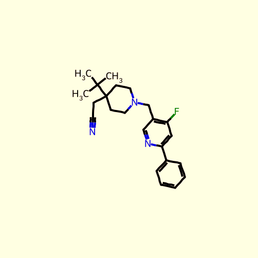 CC(C)(C)C1(CC#N)CCN(Cc2cnc(-c3ccccc3)cc2F)CC1